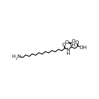 NCCCCCCCCCCCCCC(=O)NC(CC(=O)O)C(=O)O